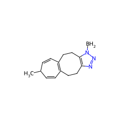 Bn1nnc2c1CCC1=C(C=CC(C)C=C1)CC2